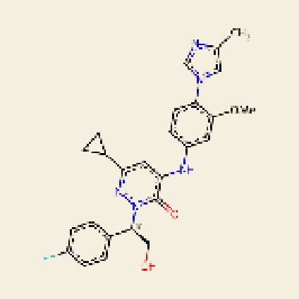 COc1cc(Nc2cc(C3CC3)nn([C@@H](CO)c3ccc(F)cc3)c2=O)ccc1-n1cnc(C)c1